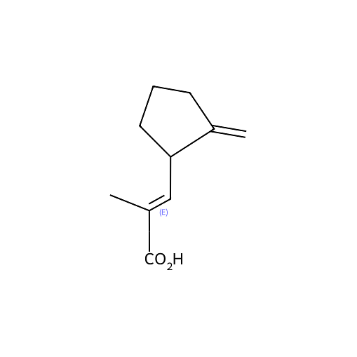 C=C1CCCC1/C=C(\C)C(=O)O